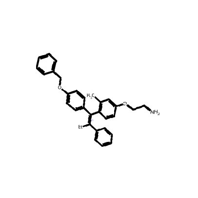 CC/C(=C(\c1ccc(OCc2ccccc2)cc1)c1ccc(OCCN)cc1C)c1ccccc1